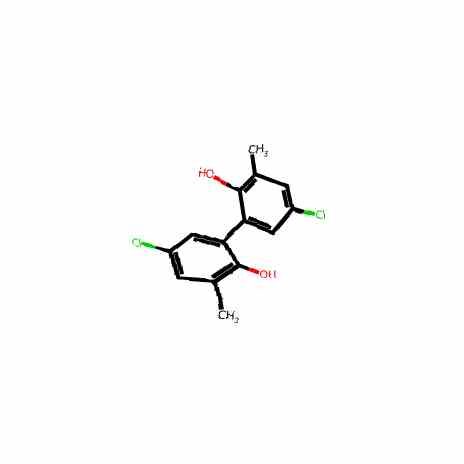 Cc1cc(Cl)cc(-c2cc(Cl)cc(C)c2O)c1O